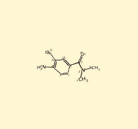 CN(C)C(=O)c1ccc(N)c(C(C)(C)C)c1